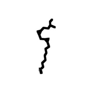 C=NCCCCCCCC1CC1CC1CC1CCC(C)CC